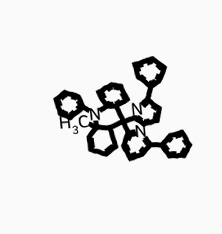 CC12C=CC=CC1C(c1cccc(-c3ccccc3)n1)(c1cccc(-c3ccccc3)n1)c1ccccc1N2c1ccccc1